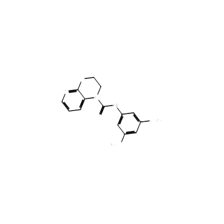 COc1cc(NC(=O)N2CCSc3ncccc32)cc(OC)c1